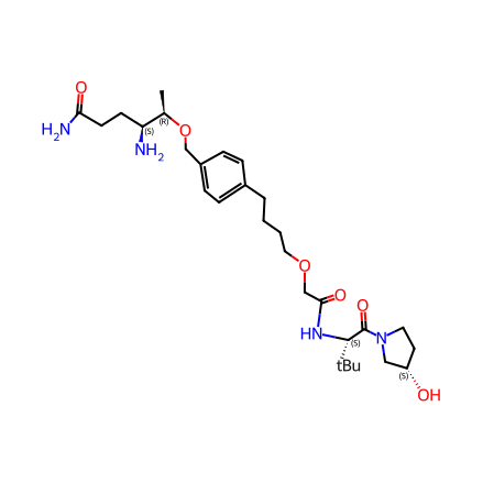 C[C@@H](OCc1ccc(CCCCOCC(=O)N[C@H](C(=O)N2CC[C@H](O)C2)C(C)(C)C)cc1)[C@@H](N)CCC(N)=O